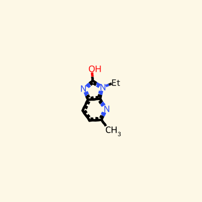 CCn1c(O)nc2ccc(C)nc21